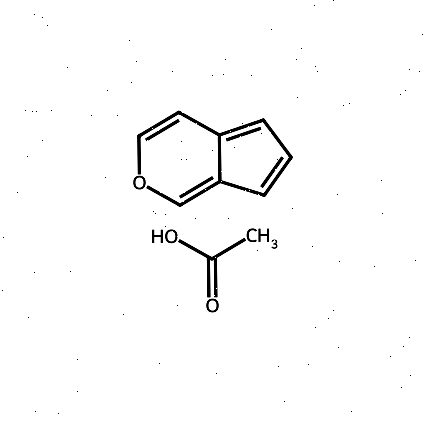 CC(=O)O.c1cc2ccocc-2c1